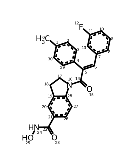 Cc1ccc(C(=Cc2cccc(F)c2)C(=O)N2CCc3cc(C(=O)NO)ccc32)cc1